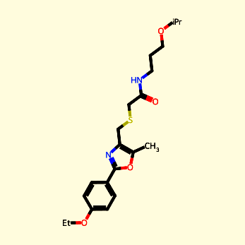 CCOc1ccc(-c2nc(CSCC(=O)NCCCOC(C)C)c(C)o2)cc1